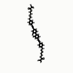 C=C(C)C(=O)OCCOCCc1ccc(C#Cc2ccc(-c3ccc(C#Cc4ccc(CCOCCOC(=O)C(=C)C)cc4)cc3C)c(C)c2)cc1